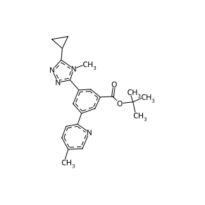 Cc1ccc(-c2cc(C(=O)OC(C)(C)C)cc(-c3nnc(C4CC4)n3C)c2)nc1